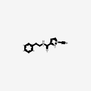 N#Cn1ccc(C(=O)NCCc2ccccc2)n1